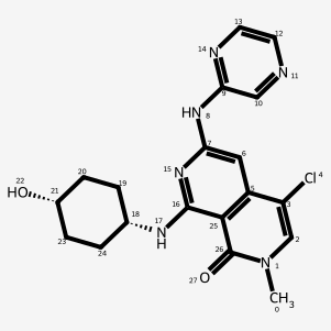 Cn1cc(Cl)c2cc(Nc3cnccn3)nc(N[C@H]3CC[C@@H](O)CC3)c2c1=O